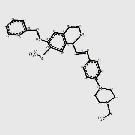 CCN1CCN(c2ccc(/C=C/C3NCCc4cc(OCc5ccccc5)c(OC)cc43)cc2)CC1